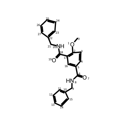 COc1ccc(C(=O)NCc2ccccc2)cc1C(=O)NCc1ccccc1